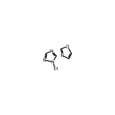 CCn1cncn1.c1cocn1